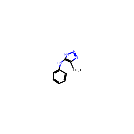 O=C(O)c1nn[nH]c1Nc1ccccc1